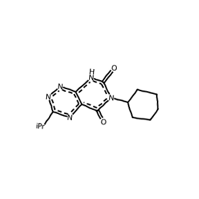 CC(C)c1nnc2[nH]c(=O)n(C3CCCCC3)c(=O)c2n1